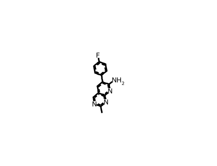 Cc1ncc2cc(-c3ccc(F)cc3)c(N)nc2n1